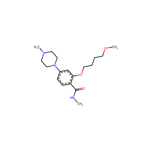 CNC(=O)c1ccc(N2CCN(C)CC2)cc1OCCCCOC